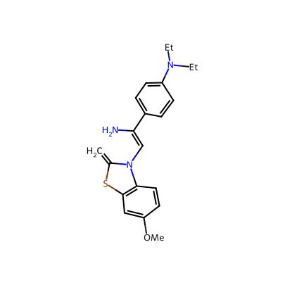 C=C1Sc2cc(OC)ccc2N1/C=C(\N)c1ccc(N(CC)CC)cc1